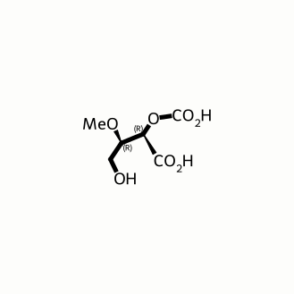 CO[C@H](CO)[C@@H](OC(=O)O)C(=O)O